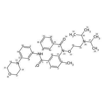 Cc1ccc(C(=O)Nc2cccc(N3CCOCC3)c2)cc1N(OCCN(C(C)C)C(C)C)C(=O)c1ccccc1